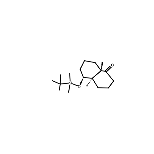 CC(C)(C)[Si](C)(C)O[C@H]1CCC[C@]2(C)C(=O)CCC[C@@H]12